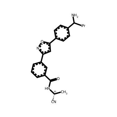 CC(C)C(N)c1ccc(-c2cc(-c3cccc(C(=O)N[C@H](C)C#N)c3)no2)cc1